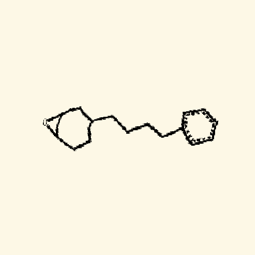 c1ccc(CCCCC2CCC3OC3C2)cc1